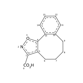 O=C(O)c1noc2c1CCCCc1ccccc1-2